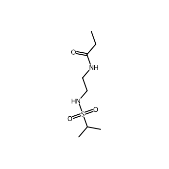 CCC(=O)NCCNS(=O)(=O)C(C)C